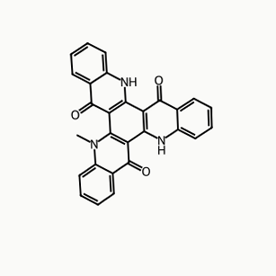 Cn1c2ccccc2c(=O)c2c3[nH]c4ccccc4c(=O)c3c3[nH]c4ccccc4c(=O)c3c21